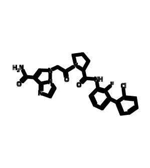 NC(=O)c1cn(CC(=O)N2CCCC2C(=O)Nc2cccc(-c3ccccc3Cl)c2F)n2ccnc12